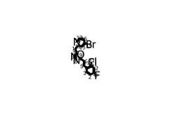 Fc1ccc(/C=C/c2nnc(Cc3cc(Br)ccn3)o2)c(Cl)c1